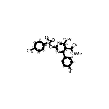 COC(=O)c1c(-c2ccc(F)cc2)nc(OS(=O)(=O)c2ccc(Cl)cc2)nc1C(C)C